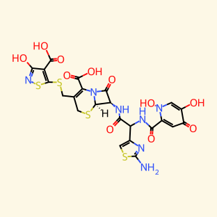 Nc1nc(C(NC(=O)c2cc(=O)c(O)cn2O)C(=O)N[C@@H]2C(=O)N3C(C(=O)O)=C(CSc4snc(O)c4C(=O)O)CS[C@H]23)cs1